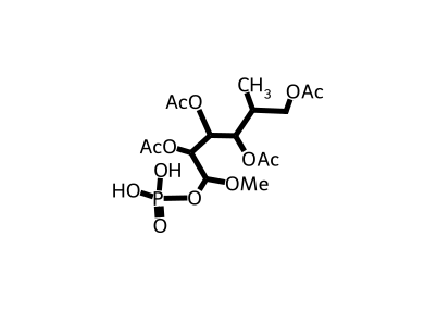 COC(OP(=O)(O)O)C(OC(C)=O)C(OC(C)=O)C(OC(C)=O)C(C)COC(C)=O